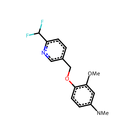 CNc1ccc(OCc2ccc(C(F)F)nc2)c(OC)c1